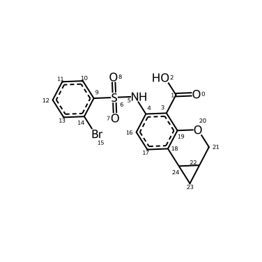 O=C(O)c1c(NS(=O)(=O)c2ccccc2Br)ccc2c1OCC1CC21